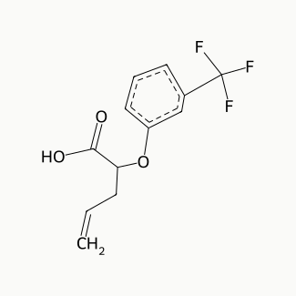 C=CCC(Oc1cccc(C(F)(F)F)c1)C(=O)O